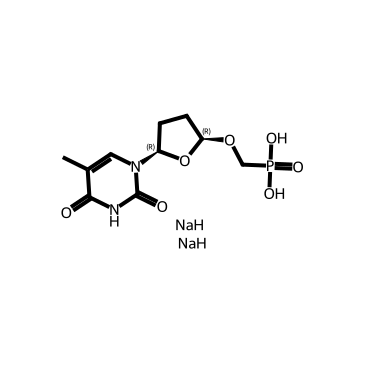 Cc1cn([C@H]2CC[C@@H](OCP(=O)(O)O)O2)c(=O)[nH]c1=O.[NaH].[NaH]